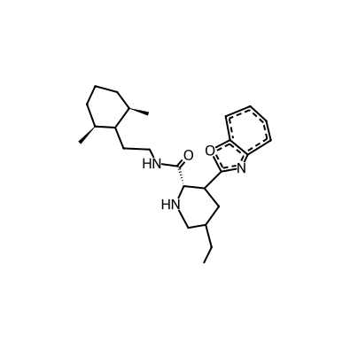 CCC1CN[C@H](C(=O)NCCC2[C@H](C)CCC[C@@H]2C)C(c2nc3ccccc3o2)C1